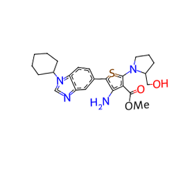 COC(=O)c1c(N2CCCC2CO)sc(-c2ccc3c(c2)ncn3C2CCCCC2)c1N